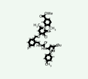 COC(=O)c1ccc(C)c(-n2c(C)cc(OCc3ccc(F)cc3CNC(=O)Nc3cc(C(C)(C)C)nn3-c3ccc(C)cc3)c(Cl)c2=O)c1